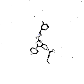 CCC#CC(=O)N1Cc2nc(N/N=C/c3cccc(C)c3)nc(N3CCOCC3)c2C1